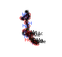 COC(=O)NC1=C2/C(=C\CSSC(C)(C)CCC(=O)NCCNC(=O)OCc3ccc(NC(=O)[C@H](C)NC(=O)[C@H](Cc4ccccc4)NC(=O)CCCCCN4C(=O)C=CC4=O)cc3)[C@](O)(C#C/C=C\C#C[C@@H]2OC2OC(C)C(NOC3CC(O)C(SC(=O)c4c(C)c(I)c(OC5OC6OC6C(OC)C5O)c(OC)c4OC)C(C)O3)C(O)C2OC2CC(OC)C(NC(C)=O)CO2)CC1=O